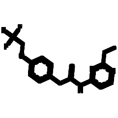 CCc1nccc(NC(=O)Cc2ccc(OCC(F)(F)F)cc2)n1